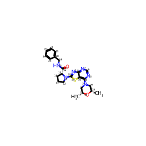 C[C@@H]1CN(c2ncnc3nc(N4CCC[C@@H]4C(=O)NCc4ccccc4)sc23)C[C@H](C)O1